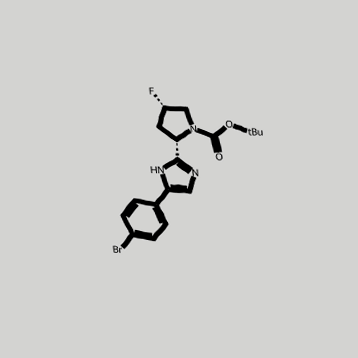 CC(C)(C)OC(=O)N1C[C@@H](F)C[C@H]1c1ncc(-c2ccc(Br)cc2)[nH]1